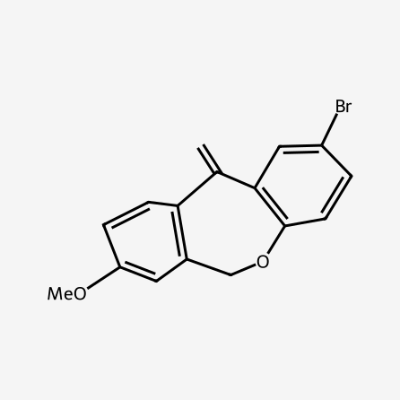 C=C1c2ccc(OC)cc2COc2ccc(Br)cc21